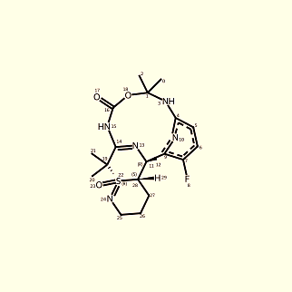 CC1(C)Nc2ccc(F)c(n2)[C@@]2(C)N=C(NC(=O)O1)C(C)(C)[S@@]1(=O)=NCCC[C@@H]21